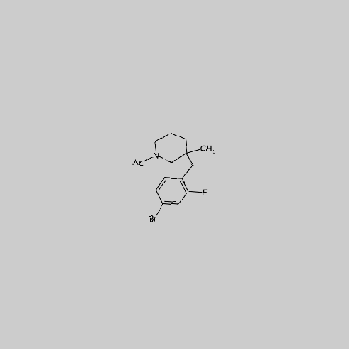 CC(=O)N1CCCC(C)(Cc2ccc(Br)cc2F)C1